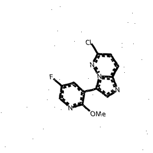 COc1ncc(F)cc1-c1cnc2ccc(Cl)nn12